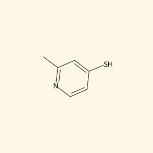 [CH2]c1cc(S)ccn1